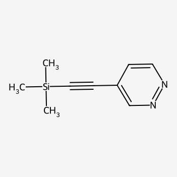 C[Si](C)(C)C#Cc1ccnnc1